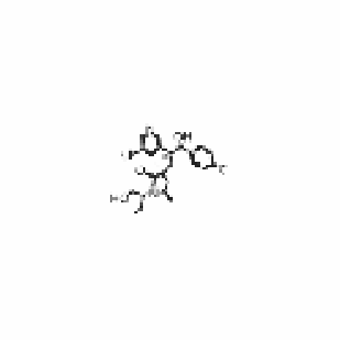 C=CC[C@](C)(C[C@@H](c1cncc(Cl)c1)[C@H](O)c1ccc(Cl)cc1)C(=O)N[C@@H](CC)CO